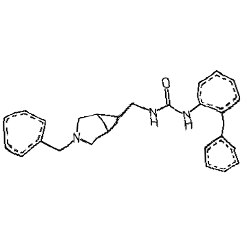 O=C(NCC1C2CN(Cc3ccccc3)CC12)Nc1ccccc1-c1ccccc1